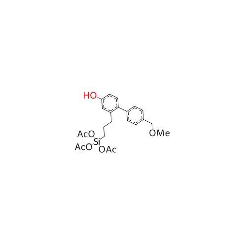 COCc1ccc(-c2ccc(O)cc2CCC[Si](OC(C)=O)(OC(C)=O)OC(C)=O)cc1